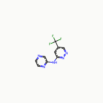 FC(F)(F)c1cnnc(Nc2cnccn2)c1